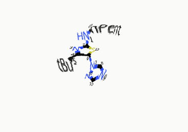 CCCCCNc1nc(C(C)(C)C)c(-n2cncn2)s1